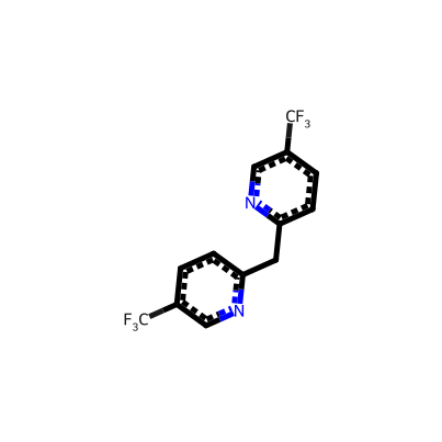 FC(F)(F)c1ccc(Cc2ccc(C(F)(F)F)cn2)nc1